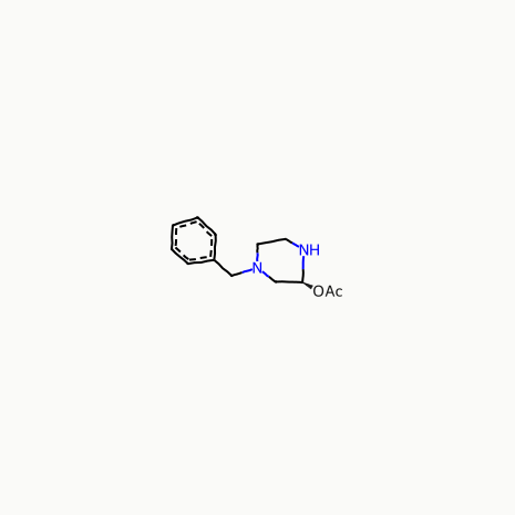 CC(=O)O[C@H]1CN(Cc2ccccc2)CCN1